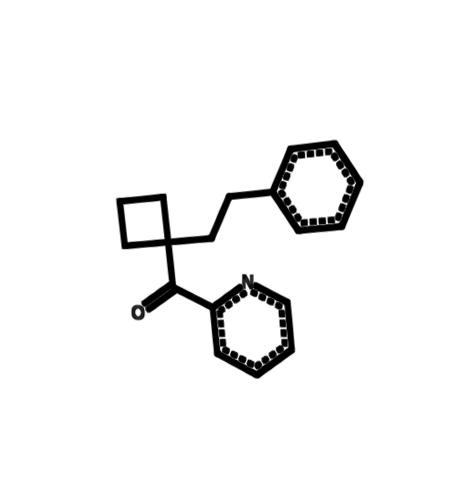 O=C(c1ccccn1)C1(CCc2ccccc2)CCC1